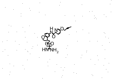 CC#CCOc1ccc(C(=O)Nc2ccc3c(c2)C(CS(=O)(=O)C(C)(C)C(=N)N)CCO3)nc1